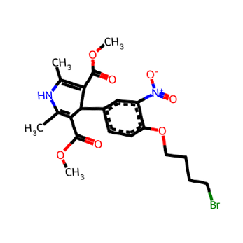 COC(=O)C1=C(C)NC(C)=C(C(=O)OC)C1c1ccc(OCCCCBr)c([N+](=O)[O-])c1